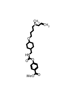 C=CCN(C)CCCCOC1CCC(CNC(=O)Oc2ccc(C(=O)OC)cc2)CC1